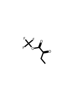 CCC(=O)C(=O)OC(F)(F)F